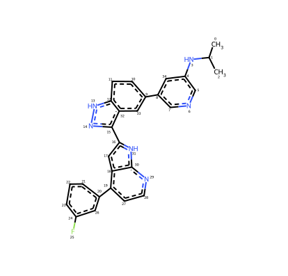 CC(C)Nc1cncc(-c2ccc3[nH]nc(-c4cc5c(-c6cccc(F)c6)ccnc5[nH]4)c3c2)c1